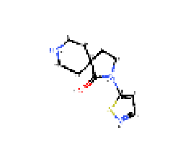 O=C1N(c2ccns2)CCC12CCNCC2